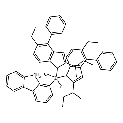 CCc1ccc2c(c1-c1ccccc1)C=C(C(C)CC)[CH]2[Zr]([Cl])([Cl])([c]1cccc2c1[SiH2]c1ccccc1-2)[CH]1C(C(C)CC)=Cc2c1ccc(CC)c2-c1ccccc1